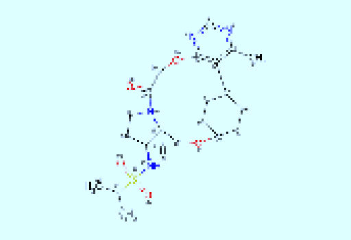 Cc1ncnc2c1C1CCC(CC1)OC[C@H]1[C@@H](NS(=O)(=O)C(C)C)CCN1C(=O)CO2